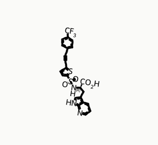 O=C(O)[C@@H](Cc1c[nH]c2ncccc12)NS(=O)(=O)c1ccc(C#Cc2ccc(C(F)(F)F)cc2)s1